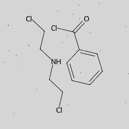 ClCCNCCCl.O=C(Cl)c1ccccc1